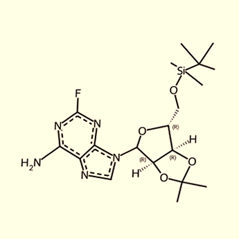 CC1(C)O[C@@H]2[C@@H](CO[Si](C)(C)C(C)(C)C)OC(n3cnc4c(N)nc(F)nc43)[C@@H]2O1